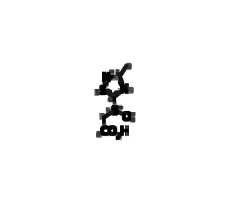 Cc1nsc([S+]([O-])CC(=O)O)n1